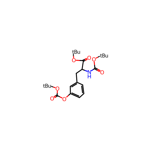 CC(C)(C)OC(=O)NC(Cc1cccc(OC(=O)OC(C)(C)C)c1)C(=O)OC(C)(C)C